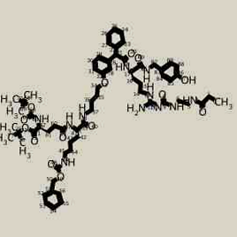 CCC(=O)NCCNC(=O)/N=C(/N)NCCC[C@@H](NC(=O)C(c1ccccc1)c1cccc(OCCCCNC(=O)[C@H](CCCCNC(=O)OCc2ccccc2)NC(=O)CC[C@H](NC(=O)OC(C)(C)C)C(=O)OC(C)(C)C)c1)C(=O)NCc1ccc(O)cc1